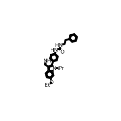 CCOc1ccc2c(C=N)c(-c3ccc(NC(=O)NCCc4ccccc4)cc3)n(C(C)C)c2c1